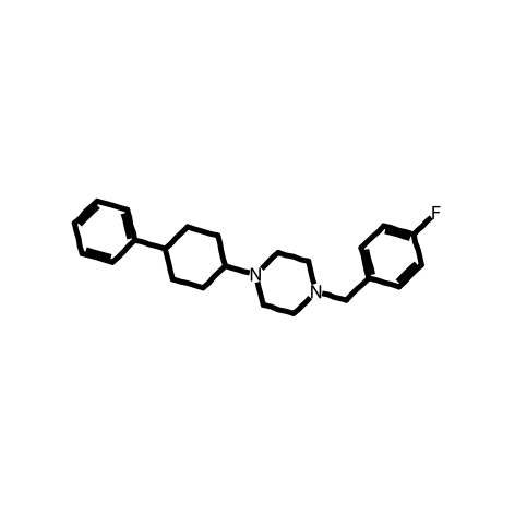 Fc1ccc(CN2CCN(C3CCC(c4ccccc4)CC3)CC2)cc1